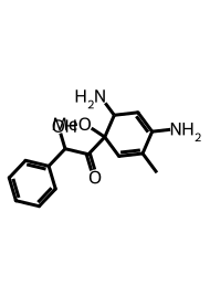 COC1(C(=O)C(O)c2ccccc2)C=C(C)C(N)=CC1N